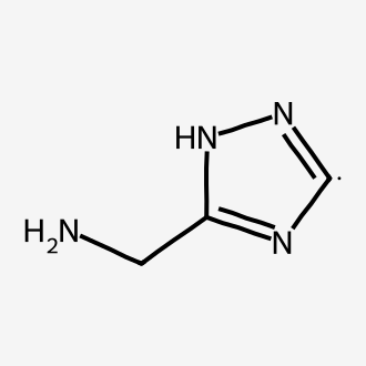 NCc1n[c]n[nH]1